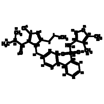 CCCc1nc(Cl)c(C(=O)N(C)C)n1Cc1ccc(-c2ccccc2S(=O)(=O)Nc2noc(C)c2C)cc1